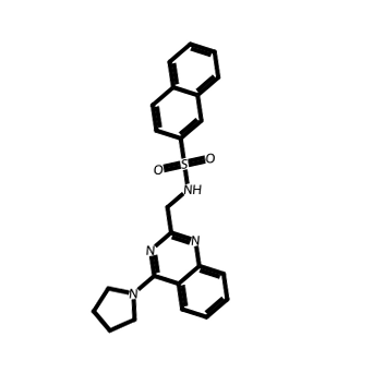 O=S(=O)(NCc1nc(N2CCCC2)c2ccccc2n1)c1ccc2ccccc2c1